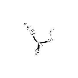 [H+].[H+].[O-]P([O-])[O-].[Rb+]